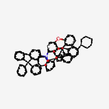 c1ccc(C2(c3ccccc3)c3ccccc3-c3ccc(N(c4ccc5c(c4)C4(c6ccccc6O5)c5cc(C6CCCCC6)ccc5-c5ccc(C6CCCCC6)cc54)c4ccccc4-c4cccc5ccccc45)cc32)cc1